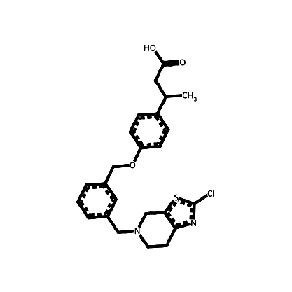 CC(CC(=O)O)c1ccc(OCc2cccc(CN3CCc4nc(Cl)sc4C3)c2)cc1